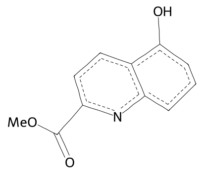 COC(=O)c1ccc2c(O)cccc2n1